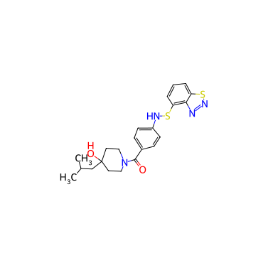 CC(C)CC1(O)CCN(C(=O)c2ccc(NSc3cccc4snnc34)cc2)CC1